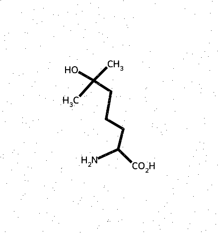 CC(C)(O)CCCC(N)C(=O)O